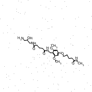 CNC(=O)CCCCOc1cc(OC)c(CNC(=O)CCCC(=O)NCC(O)CN)c(OC)c1